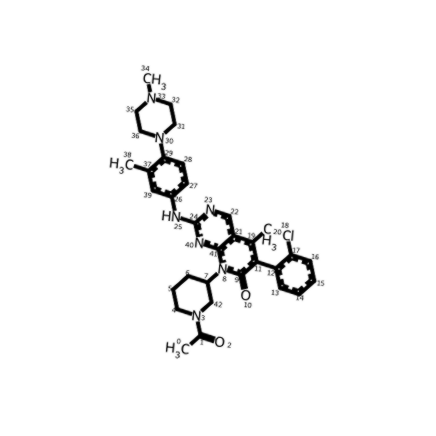 CC(=O)N1CCCC(n2c(=O)c(-c3ccccc3Cl)c(C)c3cnc(Nc4ccc(N5CCN(C)CC5)c(C)c4)nc32)C1